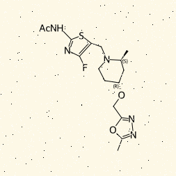 CC(=O)Nc1nc(F)c(CN2CC[C@@H](OCc3nnc(C)o3)C[C@@H]2C)s1